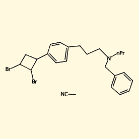 CC#N.CCCN(CCCc1ccc(C2CC(Br)C2Br)cc1)Cc1ccccc1